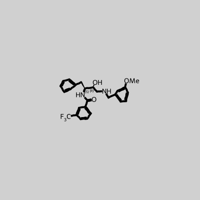 COc1cccc(CNC[C@@H](O)[C@H](Cc2ccccc2)NC(=O)c2cccc(C(F)(F)F)c2)c1